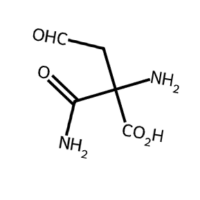 NC(=O)C(N)(CC=O)C(=O)O